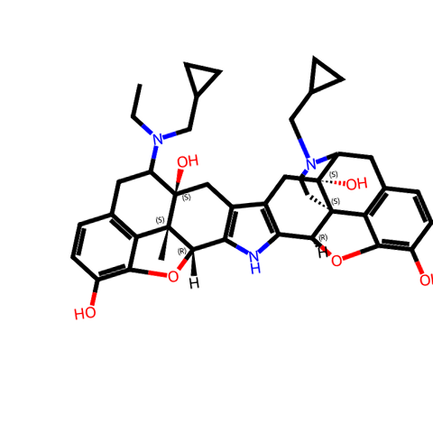 CCN(CC1CC1)C1Cc2ccc(O)c3c2[C@@]2(C)[C@@H](O3)c3[nH]c4c(c3C[C@@]12O)C[C@@]1(O)C2Cc3ccc(O)c5c3[C@@]1(CCN2CC1CC1)[C@H]4O5